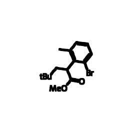 COC(=O)C(CC(C)(C)C)c1c(C)cccc1Br